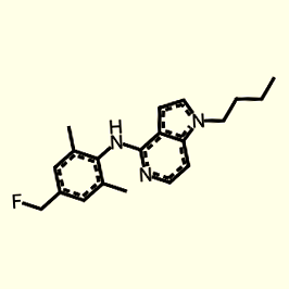 CCCCn1ccc2c(Nc3c(C)cc(CF)cc3C)nccc21